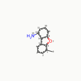 Cc1cccc2c1oc1cccc(N)c12